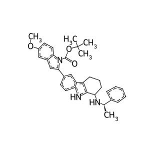 COc1ccc2c(c1)cc(-c1ccc3[nH]c4c(c3c1)CCCC4N[C@H](C)c1ccccc1)n2C(=O)OC(C)(C)C